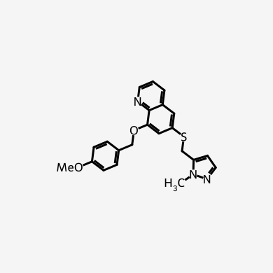 COc1ccc(COc2cc(SCc3ccnn3C)cc3cccnc23)cc1